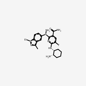 CCn1nc(C)c2cc(N(N)c3nc(N[C@@H]4CCCC[C@@H]4N)c(F)cc3C(N)=O)ccc21